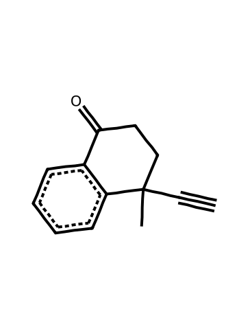 C#CC1(C)CCC(=O)c2ccccc21